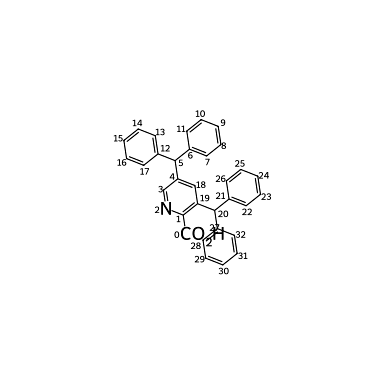 O=C(O)c1ncc(C(c2ccccc2)c2ccccc2)cc1C(c1ccccc1)c1ccccc1